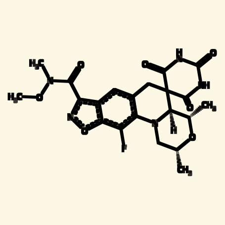 CON(C)C(=O)c1noc2c(F)c3c(cc12)CC1(C(=O)NC(=O)NC1=O)[C@H]1[C@H](C)O[C@H](C)CN31